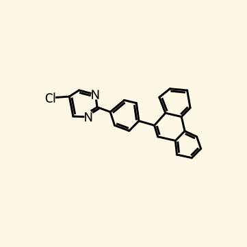 Clc1cnc(-c2ccc(-c3cc4ccccc4c4ccccc34)cc2)nc1